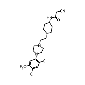 N#CCC(=O)N[C@H]1CC[C@H](CCN2CCN(c3cc(C(F)(F)F)c(Cl)cc3Cl)CC2)CC1